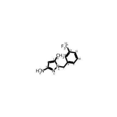 Cc1cc(N)nn1Cc1cccc(C(F)(F)F)c1